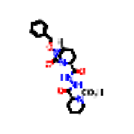 O=C(NNC(=O)[C@@H]1CC[C@@H]2CN1C(=O)N2OCc1ccccc1)[C@@H]1CCCCN1C(=O)O